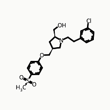 CS(=O)(=O)c1ccc(OC[C@H]2C[C@@H](CO)N(CCc3cccc(Cl)c3)C2)cc1